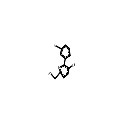 Fc1cccc(-c2nc(CBr)ccc2Cl)c1